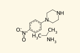 CCC.N.O=[N+]([O-])c1ccc(N2CCNCC2)cc1